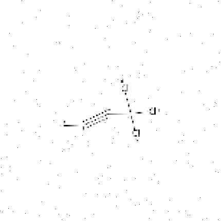 [CH2]C#CC(Cl)(Cl)Cl